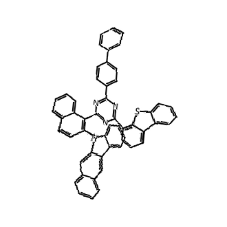 c1ccc(-c2ccc(-c3nc(-c4c(-n5c6ccccc6c6cc7ccccc7cc65)ccc5ccccc45)nc(-c4cccc5c4sc4ccccc45)n3)cc2)cc1